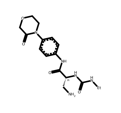 CCNC(=O)N[C@H](CN)C(=O)Nc1ccc(N2CCOCC2=O)cc1